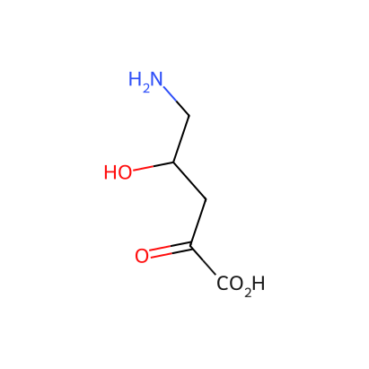 NCC(O)CC(=O)C(=O)O